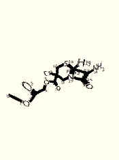 COC(=O)COC(=O)C1(Cl)CS[C@@H]2C(N)C(=O)N2C1